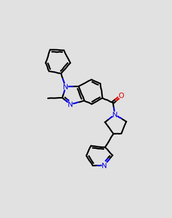 Cc1nc2cc(C(=O)N3CCC(c4cccnc4)C3)ccc2n1-c1ccccc1